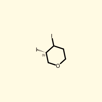 IC1CCOC[C@@H]1I